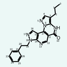 CCCc1cnn2c1[nH]c(=O)c1cnc3c(cnn3CCc3ccccc3)c12